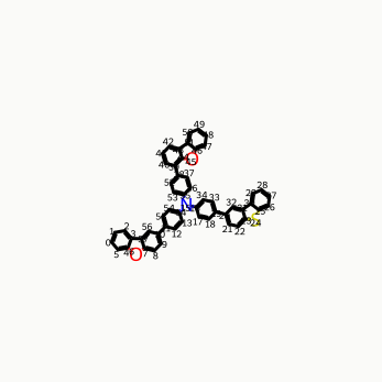 c1ccc2c(c1)oc1ccc(-c3ccc(N(c4ccc(-c5ccc6sc7ccccc7c6c5)cc4)c4ccc(-c5cccc6c5oc5ccccc56)cc4)cc3)cc12